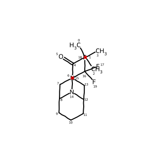 CC(C)(C)C(=O)N1CC2CCCC(C1)N2CC(F)(F)F